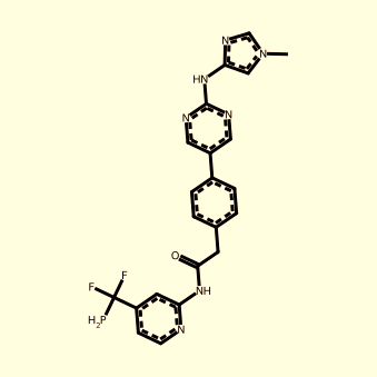 Cn1cnc(Nc2ncc(-c3ccc(CC(=O)Nc4cc(C(F)(F)P)ccn4)cc3)cn2)c1